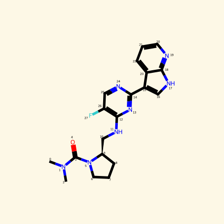 CN(C)C(=O)N1CCC[C@@H]1CNc1nc(-c2c[nH]c3ncccc23)ncc1F